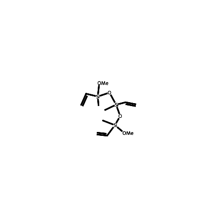 C=C[Si](C)(OC)O[Si](C)(C=C)O[Si](C)(C=C)OC